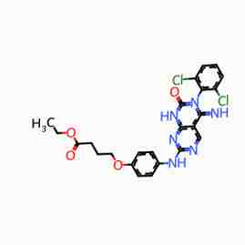 CCOC(=O)CCCOc1ccc(Nc2ncc3c(=N)n(-c4c(Cl)cccc4Cl)c(=O)[nH]c3n2)cc1